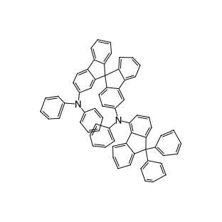 c1ccc(N(c2ccccc2)c2ccc3c(c2)C2(c4ccccc4-c4cc(N(c5ccccc5)c5cccc6c5-c5ccccc5C6(c5ccccc5)c5ccccc5)ccc42)c2ccccc2-3)cc1